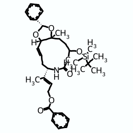 C/C(=C\COC(=O)c1ccccc1)[C@@H]1C/C=C/[C@@H]2O[C@H](c3ccccc3)O[C@]2(C)CCC(O[Si](C)(C)C(C)(C)C)CC(=O)N1